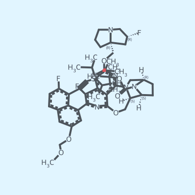 COCOc1cc(-c2nc3c4c(nc(OC[C@]56CCCN5C[C@H](F)C6)nc4c2F)N2C[C@H]4CC[C@@H]([C@H]2CO3)N4C(=O)OC(C)(C)C)c2c(C#C[Si](C(C)C)(C(C)C)C(C)C)c(F)ccc2c1